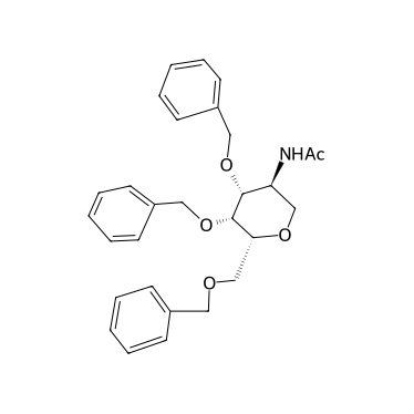 CC(=O)N[C@H]1CO[C@H](COCc2ccccc2)[C@H](OCc2ccccc2)[C@@H]1OCc1ccccc1